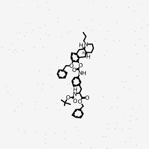 CCCN1CCC[C@@H]2Cc3c(ccc(OCc4ccccc4)c3OC(=O)Nc3cccc(CC(NC(=O)OC(C)(C)C)C(=O)OCc4ccccc4)c3)C[C@H]21